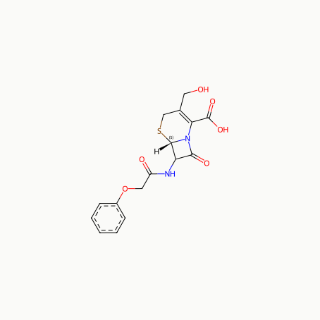 O=C(COc1ccccc1)NC1C(=O)N2C(C(=O)O)=C(CO)CS[C@@H]12